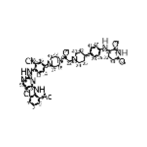 CC(=O)c1ccccc1Nc1nc(Nc2ccc(N3CCN(C(=O)CN4CCC(c5ccc(NC6CCC(=O)NC6=O)cc5)CC4)CC3)cc2Cl)ncc1Cl